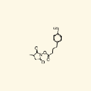 CC1CC(=O)N(OC(=O)CCCc2ccc([125I])cc2)C1=O